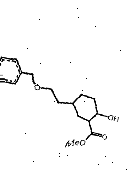 COC(=O)C1CC(CCOCc2ccccc2)CCC1O